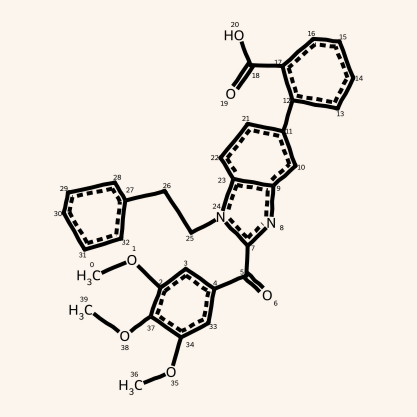 COc1cc(C(=O)c2nc3cc(-c4ccccc4C(=O)O)ccc3n2CCc2ccccc2)cc(OC)c1OC